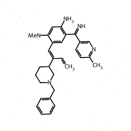 C=C/C(=C\c1cc(C(=N)c2ccc(C)nc2)c(N)cc1NC)C1CCCN(Cc2ccccc2)C1